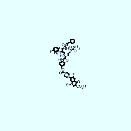 CCn1cc(C(=O)O)c(=O)c2cc(F)c(N3CCN(C(=O)OCc4ccc(NC(=O)[C@H](CCCNC(N)=O)N/C=C(\N)[C@H](Cc5ccc(F)cc5)NC(=O)OCc5ccccc5)cc4)CC3)cc21